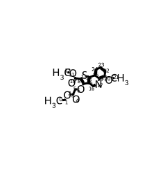 CCOC(=O)COc1c(C(=O)OC)sc2c1cnc1c(OC)cccc12